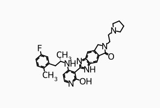 Cc1ccc(F)cc1C[C@H](C)Nc1ccnc(O)c1-c1nc2cc3c(cc2[nH]1)C(=O)N(CCN1CCCC1)C3